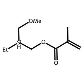 C=C(C)C(=O)OC[SiH](CC)COC